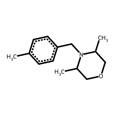 Cc1ccc(CN2C(C)COCC2C)cc1